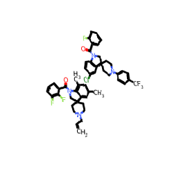 C=CCN1CCC2(CC1)CN(C(=O)c1cccc(F)c1F)c1c(C)cc(C)cc12.O=C(c1ccccc1F)N1CC2(CCN(c3ccc(C(F)(F)F)cc3)CC2)c2cc(Cl)ccc21